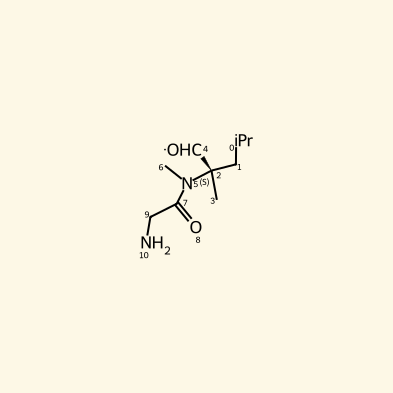 CC(C)C[C@@](C)([C]=O)N(C)C(=O)CN